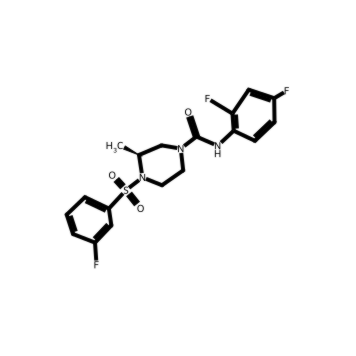 C[C@H]1CN(C(=O)Nc2ccc(F)cc2F)CCN1S(=O)(=O)c1cccc(F)c1